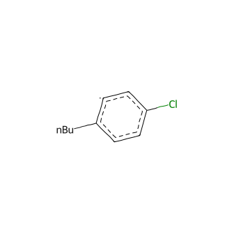 CCCCc1[c]cc(Cl)cc1